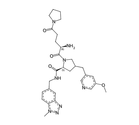 COc1cncc(CC2C[C@@H](C(=O)NCc3ccc4c(c3)nnn4C)N(C(=O)[C@H](N)CCC(=O)N3CCCC3)C2)c1